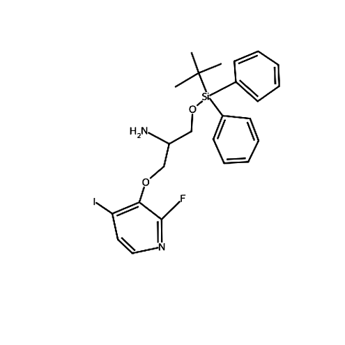 CC(C)(C)[Si](OCC(N)COc1c(I)ccnc1F)(c1ccccc1)c1ccccc1